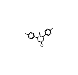 Cc1ccc(C2CC(=O)CC(c3ccc(C)cc3)N2C)cc1